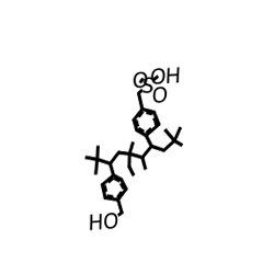 CCC(C)(CC(c1ccc(CO)cc1)C(C)(C)C)C(C)C(CC(C)(C)C)c1ccc(CS(=O)(=O)O)cc1